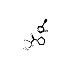 C#Cc1cnc([C@@H]2CCCN2C(=O)[C@@H](NC(=O)O)C(C)C)[nH]1